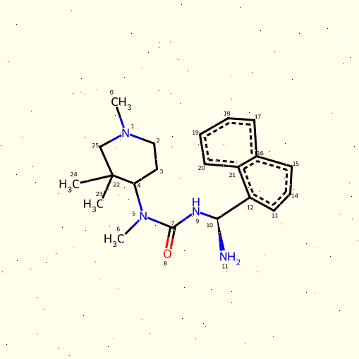 CN1CCC(N(C)C(=O)N[C@H](N)c2cccc3ccccc23)C(C)(C)C1